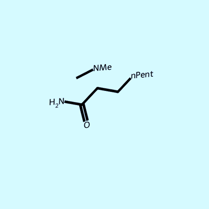 CCCCCCCC(N)=O.CNC